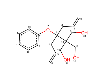 C=CCC(CC=C)(Oc1ccccc1)C(CO)(CO)CO